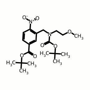 COCCN(Cc1cc(C(=O)OC(C)(C)C)ccc1[N+](=O)[O-])C(=O)OC(C)(C)C